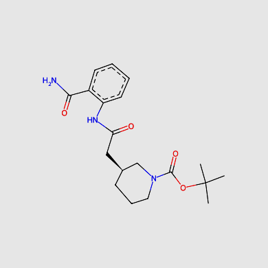 CC(C)(C)OC(=O)N1CCC[C@@H](CC(=O)Nc2ccccc2C(N)=O)C1